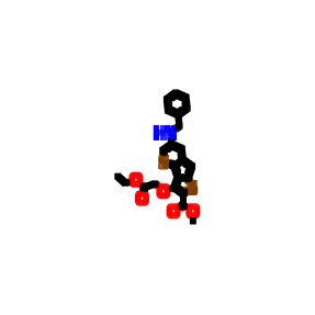 CCOC(=O)COc1c(C(=O)OC)sc2cc3cc(NCc4ccccc4)csc-3c12